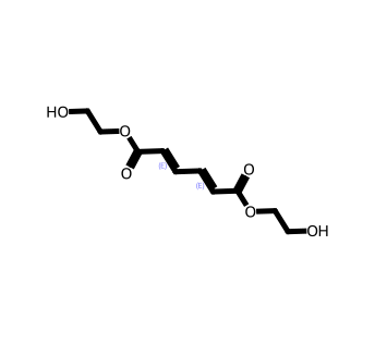 O=C(/C=C/C=C/C(=O)OCCO)OCCO